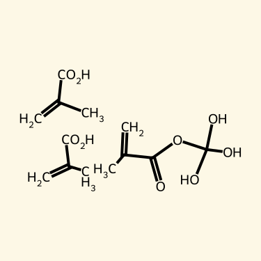 C=C(C)C(=O)O.C=C(C)C(=O)O.C=C(C)C(=O)OC(O)(O)O